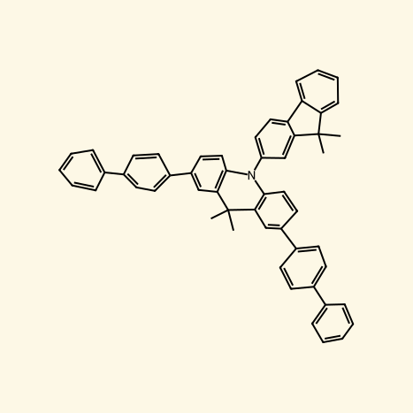 CC1(C)c2ccccc2-c2ccc(N3c4ccc(-c5ccc(-c6ccccc6)cc5)cc4C(C)(C)c4cc(-c5ccc(-c6ccccc6)cc5)ccc43)cc21